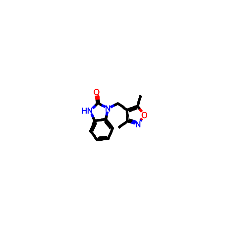 Cc1noc(C)c1Cn1c(=O)[nH]c2ccccc21